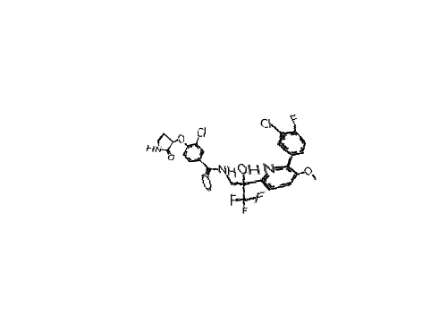 COc1ccc(C(O)(CNC(=O)c2ccc(O[C@@H]3CCNC3=O)c(Cl)c2)C(F)(F)F)nc1-c1ccc(F)c(Cl)c1